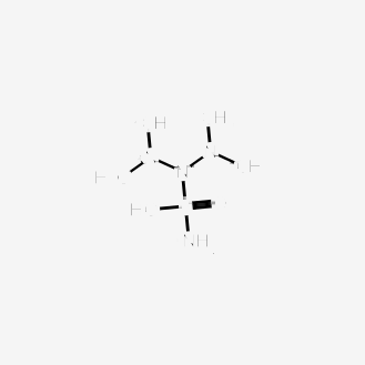 CN(C)N(N(C)C)P(N)(=O)O